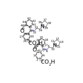 O=C(O)c1ccc2c(c1)/C(=C/CCN1CCCC1)c1ccccc1CO2.O=C(O)c1ccc2c(c1)/C(=C/CCN1CCCC1)c1ccccc1CO2